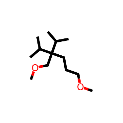 COCCCC(COC)(C(C)C)C(C)C